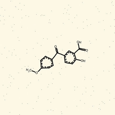 COc1ccc(C(=O)c2ccc(O)c(C(=O)O)c2)cc1